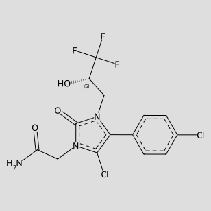 NC(=O)Cn1c(Cl)c(-c2ccc(Cl)cc2)n(C[C@H](O)C(F)(F)F)c1=O